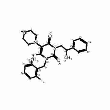 Cc1c(N2CCNCC2)c(=O)n(C[C@H](C)c2ccccc2)c(=O)n1Cc1c(F)cccc1F